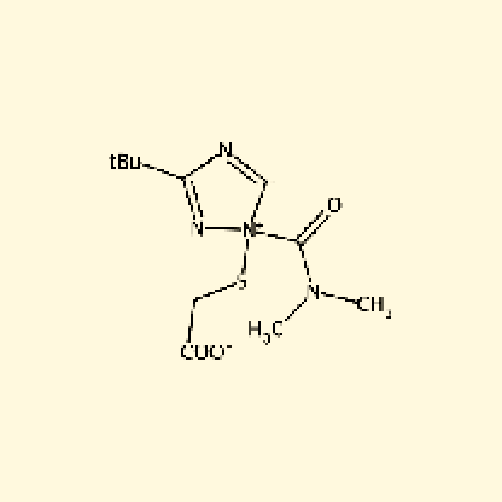 CN(C)C(=O)[N+]1(SCC(=O)[O-])[C]=NC(C(C)(C)C)=N1